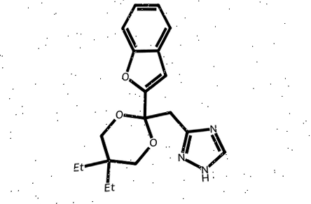 CCC1(CC)COC(Cc2nc[nH]n2)(c2cc3ccccc3o2)OC1